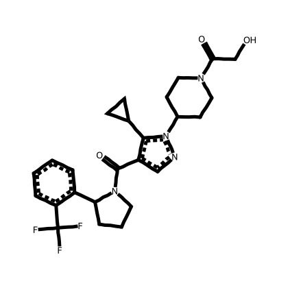 O=C(CO)N1CCC(n2ncc(C(=O)N3CCCC3c3ccccc3C(F)(F)F)c2C2CC2)CC1